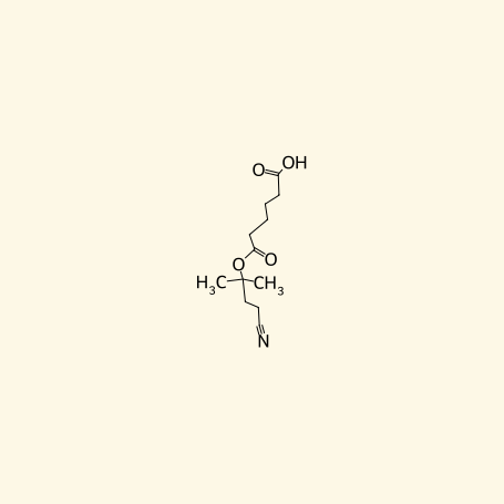 CC(C)(CCC#N)OC(=O)CCCCC(=O)O